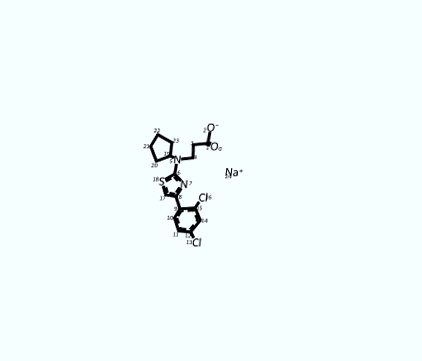 O=C([O-])CCN(c1nc(-c2ccc(Cl)cc2Cl)cs1)C1CCCC1.[Na+]